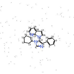 c1ccc(-c2ncn(C3CCCCC3)c2-n2ccc3cccnc32)cc1